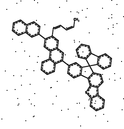 C/C=C\C=C/c1cc2cc(-c3ccc4c(c3)C3(c5ccccc5-c5ccccc53)c3ccc5c(sc6ccccc65)c3-4)c3ccccc3c2cc1-c1ccc2ccccc2c1